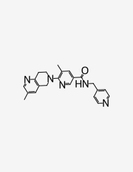 Cc1cnc2c(c1)CN(c1ncc(C(=O)NCc3ccncc3)cc1C)CC2